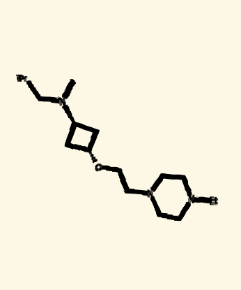 CCN1CCN(CCO[C@H]2C[C@H](N(C)CC(C)C)C2)CC1